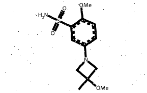 COc1ccc(N2CC(C)(OC)C2)cc1S(N)(=O)=O